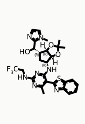 Cc1nc(NCC(F)(F)F)nc(N[C@@H]2C[C@H](C(O)c3nccn3C)[C@H]3OC(C)(C)O[C@H]32)c1-c1nc2ccccc2s1